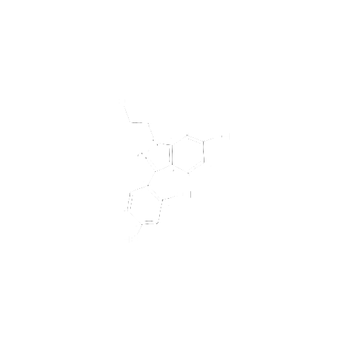 OCCn1nc(-c2ccc(O)cc2O)c2ccc(O)cc21